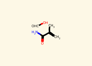 C=C(C)C(N)=O.O=CO